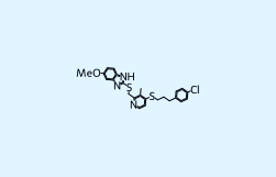 COc1ccc2[nH]c(SCc3nccc(SCCCc4ccc(Cl)cc4)c3C)nc2c1